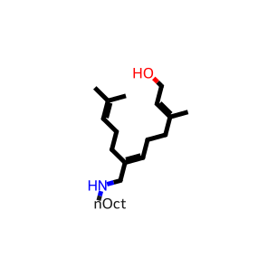 CCCCCCCCNCC(=CCCC(C)=CCO)CCC=C(C)C